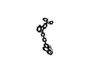 c1ccc(N(c2ccccc2)c2ccc3c(c2)c2ccccc2n3-c2ccc(-c3ccc(-c4cnc5c(ccc6cccnc65)c4)cc3)cc2)cc1